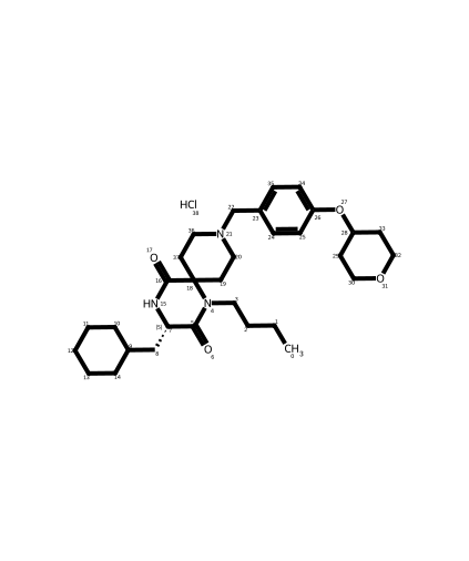 CCCCN1C(=O)[C@H](CC2CCCCC2)NC(=O)C12CCN(Cc1ccc(OC3CCOCC3)cc1)CC2.Cl